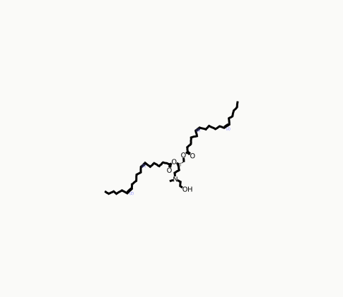 CCCCC/C=C\CCCC/C=C\CCCCC(=O)OC[C@H](CCN(C)CCO)OC(=O)CCCC/C=C\CCCC/C=C\CCCCC